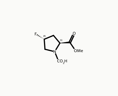 COC(=O)[C@@H]1C[C@@H](F)CN1C(=O)O